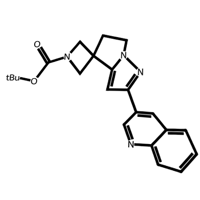 CC(C)(C)OC(=O)N1CC2(CCn3nc(-c4cnc5ccccc5c4)cc32)C1